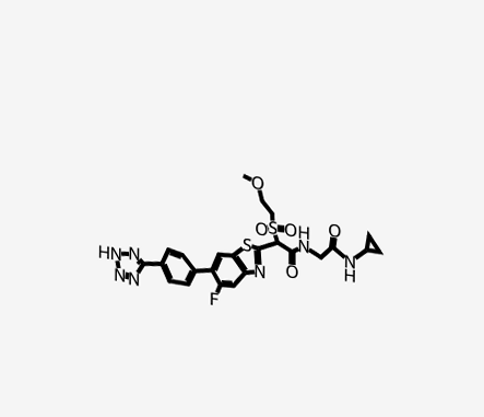 COCCS(=O)(=O)C(C(=O)NCC(=O)NC1CC1)c1nc2cc(F)c(-c3ccc(-c4nn[nH]n4)cc3)cc2s1